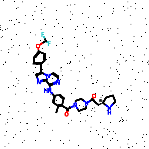 Cc1cc(Nc2nccn3c(-c4ccc(OC(F)F)cc4)cnc23)ccc1C(=O)N1CCN(C(=O)C[C@@H]2CCCN2)CC1